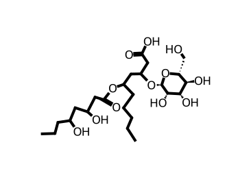 CCCCCC(CC(CC(=O)O)O[C@@H]1O[C@H](CO)[C@@H](O)[C@H](O)[C@@H]1O)OC(=O)CC(O)CC(O)CCC